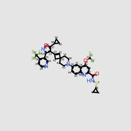 O=C(NSC1CC1)c1cc(OC(F)F)c2cc(N3CCC4(C=C(c5c(-c6cnccc6C(F)(F)F)noc5C5CC5)C4)CC3)ccc2n1